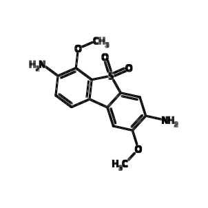 COc1cc2c(cc1N)S(=O)(=O)c1c-2ccc(N)c1OC